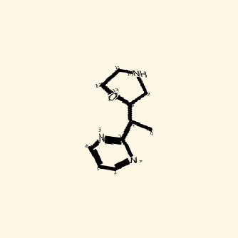 CC(c1ncccn1)C1CNCCO1